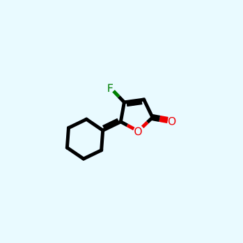 O=C1C=C(F)C(=C2CCCCC2)O1